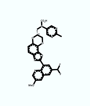 COc1cnc2c(-c3nc4ccc5c(c4s3)OC[C@@H](CN(C(=O)O)c3cnc(C)nc3)O5)cc(C(F)F)cc2c1